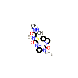 CCn1c(=C(C#N)C(=O)NCC(F)(F)F)sc(=CNc2cccc(N(C)C(=O)CN3CCCc4ccccc43)c2)c1=O